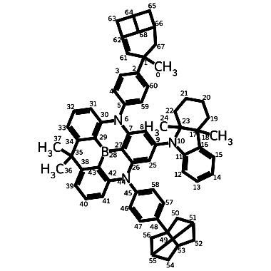 CC1(c2ccc(N3c4cc(N5c6ccccc6C6(C)CCCCC56C)cc5c4B4c6c3cccc6C(C)(C)c3cccc(c34)N5c3ccc(C45CC6CC4CC6C5)cc3)cc2)C=C2CC3CC(C1)C23